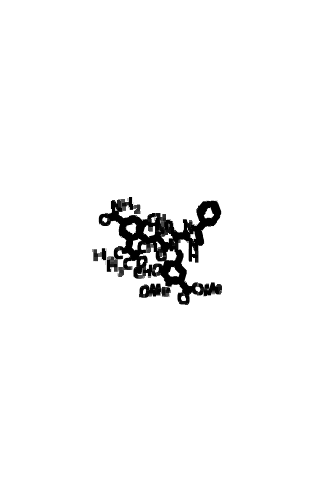 COC(=O)c1cc(CN(C(=O)C(N)Cc2c(C)cc(C(N)=O)cc2C(C)C(C)(C)OC=O)C(C)c2nc(-c3ccccc3)c[nH]2)ccc1OC